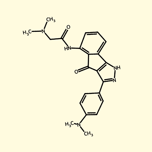 CN(C)CC(=O)Nc1cccc2c1C(=O)c1c(-c3ccc(N(C)C)cc3)n[nH]c1-2